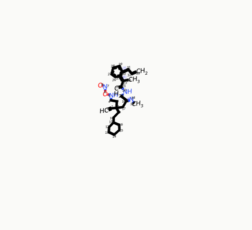 C#CC(CCNON=O)(CCC1CCCCC1)C/C(CNC(=C)/C(C)=c1\cccc\c1=C\C=C)=N\C